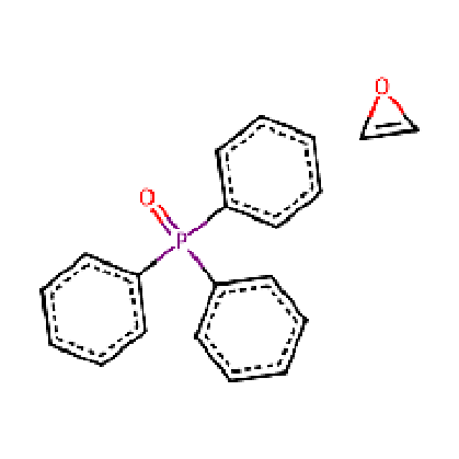 C1=CO1.O=P(c1ccccc1)(c1ccccc1)c1ccccc1